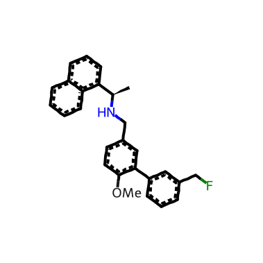 COc1ccc(CN[C@H](C)c2cccc3ccccc23)cc1-c1cccc(CF)c1